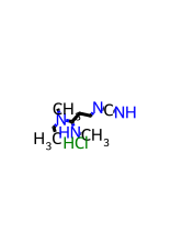 CCN(C)C(CCN=C=N)NC.Cl